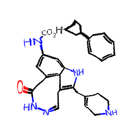 O=C(O)Nc1cc2c3c(c(C4=CCNCC4)[nH]c3c1)C=NNC2=O.c1ccc(C2CC2)cc1